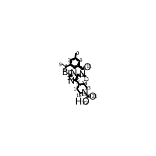 Cc1cc([C@H](C)Br)c2c(c1)c(=O)n(C)c1c(C3CCN(C(=O)O)CC3)ncn21